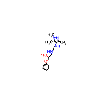 Cc1nn(C)c(C)c1NCCNCC(O)COc1ccccc1